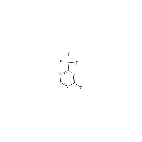 FC(F)(F)c1cc(Cl)n[c]n1